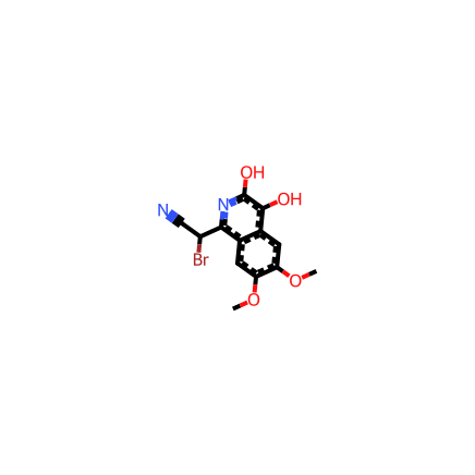 COc1cc2c(C(Br)C#N)nc(O)c(O)c2cc1OC